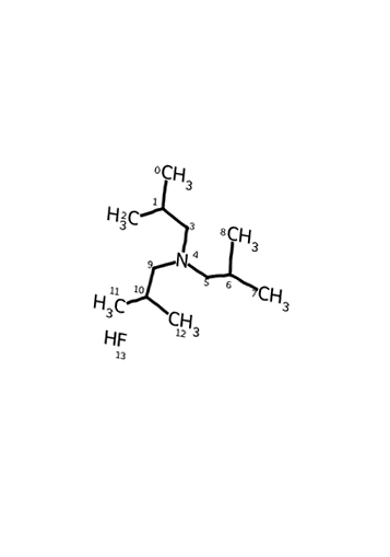 CC(C)CN(CC(C)C)CC(C)C.F